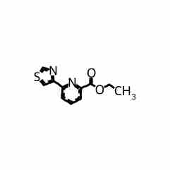 CCOC(=O)c1cccc(-c2cscn2)n1